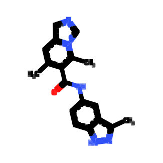 Cc1cc2cncn2c(C)c1C(=O)Nc1ccc2[nH]nc(C)c2c1